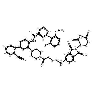 COc1cccc(F)c1-c1nccc(C(=O)Nc2ccc(-c3cnccc3C#N)cc2N2CCN(C(=O)CCCNc3ccc4c(c3)C(=O)N(C3CCC(=O)NC3=O)C4=O)CC2)n1